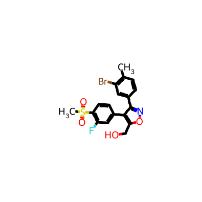 Cc1ccc(-c2noc(CO)c2-c2ccc(S(C)(=O)=O)c(F)c2)cc1Br